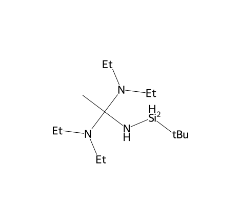 CCN(CC)C(C)(N[SiH2]C(C)(C)C)N(CC)CC